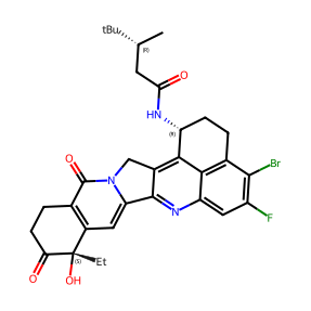 CC[C@@]1(O)C(=O)CCc2c1cc1n(c2=O)Cc2c-1nc1cc(F)c(Br)c3c1c2[C@H](NC(=O)C[C@@H](C)C(C)(C)C)CC3